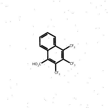 O=C(O)c1c(C(F)(F)F)c(C(F)(F)F)c(C(F)(F)F)c2ccccc12